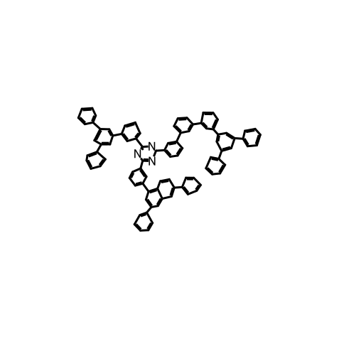 c1ccc(-c2cc(-c3ccccc3)cc(-c3cccc(-c4cccc(-c5cccc(-c6nc(-c7cccc(-c8cc(-c9ccccc9)cc(-c9ccccc9)c8)c7)nc(-c7cccc(-c8cc(-c9ccccc9)cc9cc(-c%10ccccc%10)ccc89)c7)n6)c5)c4)c3)c2)cc1